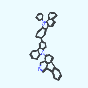 c1ccc(-n2c3ccc(-c4ccc5c(c4)c4ccccc4n5-c4ccc5c6c(cncc46)-c4ccccc4-5)cc3c3ccc4ccccc4c32)cc1